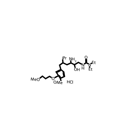 CCN(CC)C(=O)NCC(O)C(N)CC(Cc1ccc(OC)c(OCCCOC)c1)C(C)C.Cl